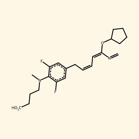 C=N/C(=C\C=C/Cc1cc(F)c(N(C)CCCC(=O)O)c(F)c1)OC1CCCC1